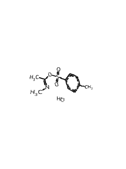 CN=C(C)OS(=O)(=O)c1ccc(C)cc1.Cl